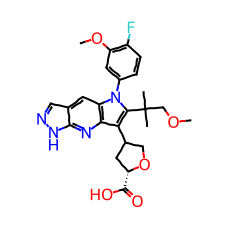 COCC(C)(C)c1c(C2CO[C@H](C(=O)O)C2)c2nc3[nH]ncc3cc2n1-c1ccc(F)c(OC)c1